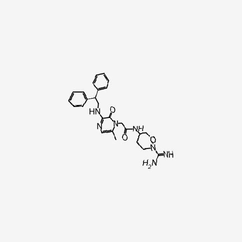 Cc1cnc(NCC(c2ccccc2)c2ccccc2)c(=O)n1CC(=O)NC1CCN(C(=N)N)OC1